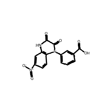 O=C(O)c1cccc(-n2c(=O)c(=O)[nH]c3cc([N+](=O)[O-])ccc32)c1